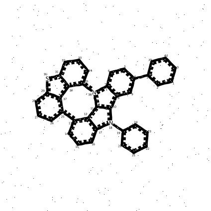 c1ccc(-c2ccc3c(c2)c2c4c5c(cccc5n2-c2ccccc2)c2cccc5sc6cccc(c6c52)n34)cc1